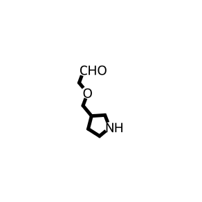 O=CCOCC1CCNC1